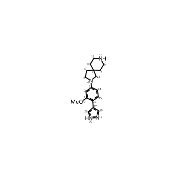 COc1cc(N2CCC3(CCNCC3)C2)ccc1-c1cn[nH]c1